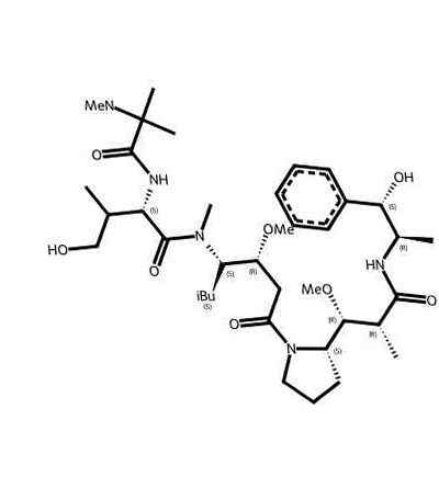 CC[C@H](C)[C@@H]([C@@H](CC(=O)N1CCC[C@H]1[C@H](OC)[C@@H](C)C(=O)N[C@H](C)[C@@H](O)c1ccccc1)OC)N(C)C(=O)[C@@H](NC(=O)C(C)(C)NC)C(C)CO